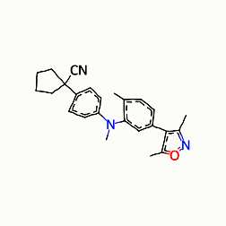 Cc1ccc(-c2c(C)noc2C)cc1N(C)c1ccc(C2(C#N)CCCC2)cc1